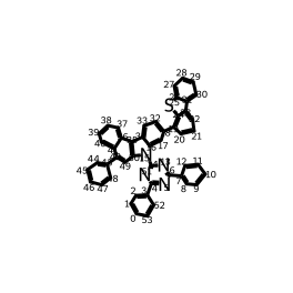 c1ccc(-c2nc(-c3ccccc3)nc(-n3c4cc(-c5cccc6c5sc5ccccc56)ccc4c4c5ccccc5c(-c5ccccc5)cc43)n2)cc1